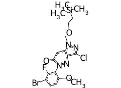 COc1ccc(Br)c(F)c1-n1nc2c(Cl)nn(COCC[Si](C)(C)C)c2cc1=O